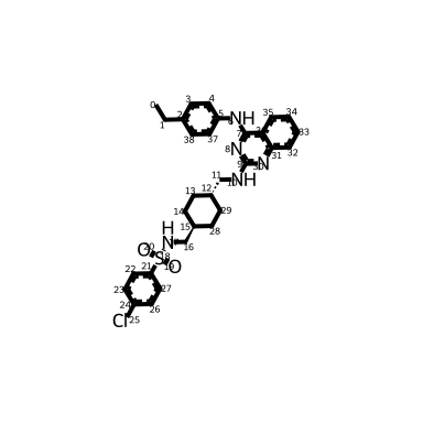 CCc1ccc(Nc2nc(NC[C@H]3CC[C@H](CNS(=O)(=O)c4ccc(Cl)cc4)CC3)nc3ccccc23)cc1